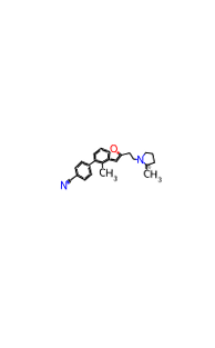 Cc1c(-c2ccc(C#N)cc2)ccc2oc(CCN3CCC[C@H]3C)cc12